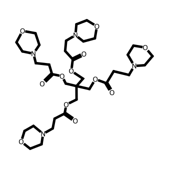 O=C(CCN1CCOCC1)OCC(COC(=O)CCN1CCOCC1)(COC(=O)CCN1CCOCC1)COC(=O)CCN1CCOCC1